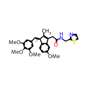 COc1ccc2c(c1)C(CC(=O)NCc1nccs1)=C(C)/C2=C/c1cc(OC)c(OC)c(OC)c1